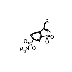 NS(=O)(=O)c1ccc2c(c1)S(=O)(=O)N=C2C=S